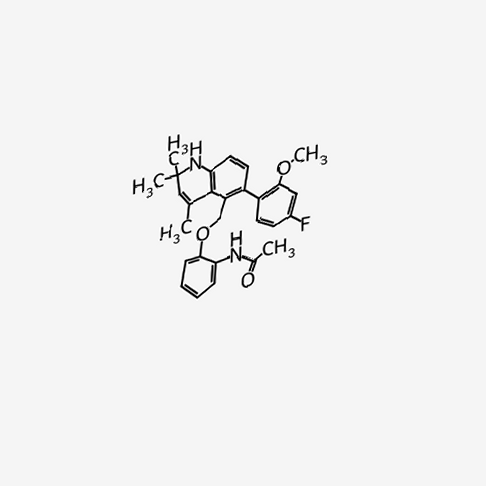 COc1cc(F)ccc1-c1ccc2c(c1COc1ccccc1NC(C)=O)C(C)=CC(C)(C)N2